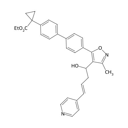 CCOC(=O)C1(c2ccc(-c3ccc(-c4onc(C)c4C(O)CC=Cc4ccncc4)cc3)cc2)CC1